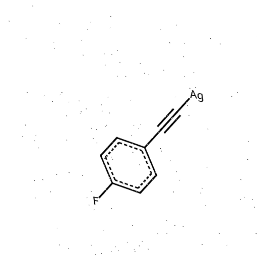 Fc1ccc(C#[C][Ag])cc1